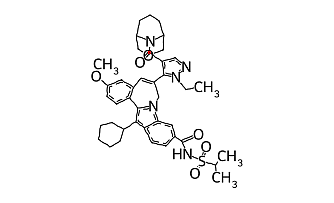 CCn1ncc(C(=O)N2C3CCCC2COC3)c1C1=Cc2cc(OC)ccc2-c2c(C3CCCCC3)c3ccc(C(=O)NS(=O)(=O)C(C)C)cc3n2C1